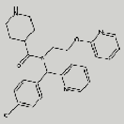 O=C(C1CCNCC1)N(CCOc1ccccn1)C(c1ccc(Cl)cc1)c1ccccn1